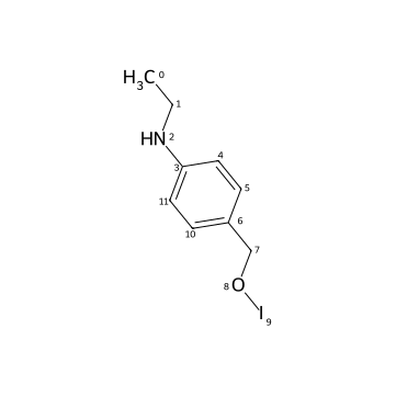 CCNc1ccc(COI)cc1